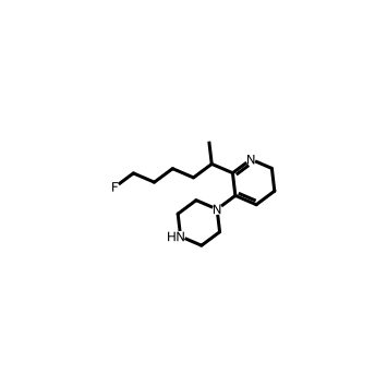 CC(CCCCF)C1=NCCC=C1N1CCNCC1